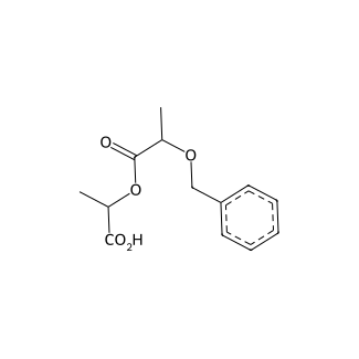 CC(OC(=O)C(C)OCc1ccccc1)C(=O)O